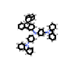 c1ccc2c(c1)-c1cc(N(c3ccc(-n4c5ccccc5c5ccccc54)cc3)c3ccc(-n4c5ccccc5c5ccccc54)cc3)ccc1C21C2CC3CC(C2)CC1C3